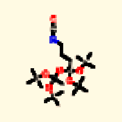 C[Si](C)(C)O[Si](C)(O[Si](C)(C)C)O[Si](CCCN=C=O)(O[Si](C)(C)C)O[Si](C)(C)C